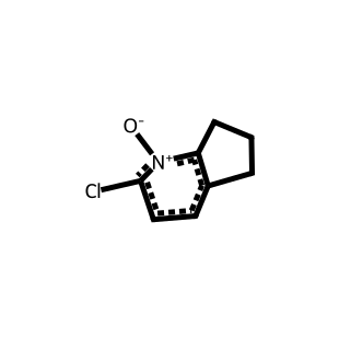 [O-][n+]1c(Cl)ccc2c1CCC2